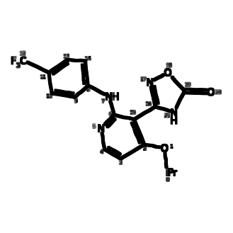 CC(C)Oc1ccnc(Nc2ccc(C(F)(F)F)cc2)c1-c1noc(=O)[nH]1